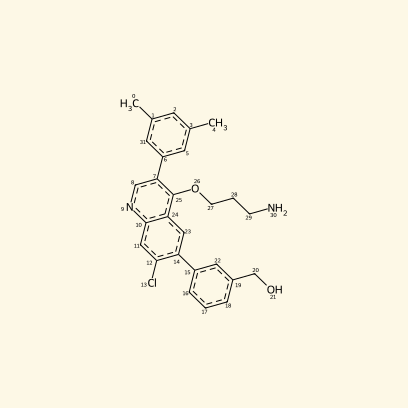 Cc1cc(C)cc(-c2cnc3cc(Cl)c(-c4cccc(CO)c4)cc3c2OCCCN)c1